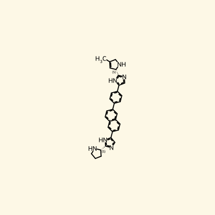 CC1=C[C@@H](c2ncc(-c3ccc(-c4ccc5cc(-c6cnc([C@@H]7CCCN7)[nH]6)ccc5c4)cc3)[nH]2)NC1